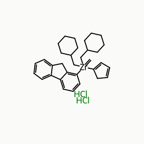 Cl.Cl.[CH2]=[Zr]([CH2]C1CCCCC1)([CH2]C1CCCCC1)([C]1=CC=CC1)[c]1cccc2c1Cc1ccccc1-2